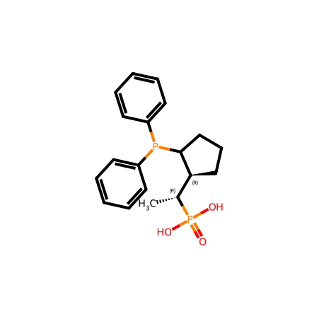 C[C@H]([C@@H]1CCCC1P(c1ccccc1)c1ccccc1)P(=O)(O)O